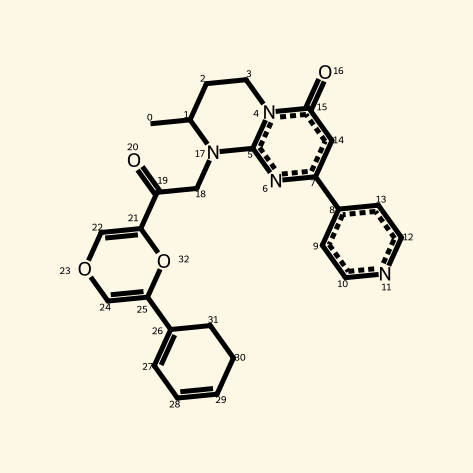 CC1CCn2c(nc(-c3ccncc3)cc2=O)N1CC(=O)C1=COC=C(C2=CC=CCC2)O1